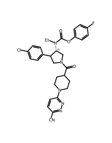 CCN(C(=O)Oc1ccc(F)cc1)[C@@H]1CN(C(=O)C2CCN(c3ccc(C#N)nn3)CC2)CC1c1ccc(Cl)cc1